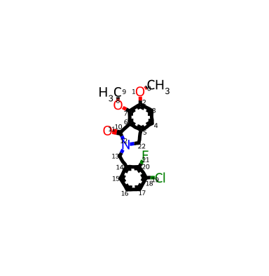 COc1ccc2c(c1OC)C(=O)N(Cc1cccc(Cl)c1F)C2